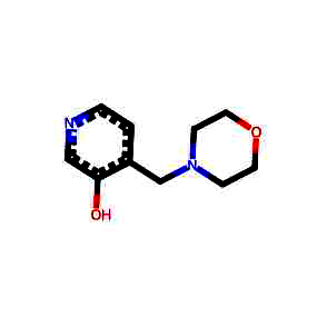 Oc1cnccc1CN1CCOCC1